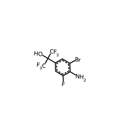 Nc1c(F)cc(C(O)(C(F)(F)F)C(F)(F)F)cc1Br